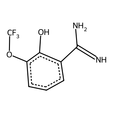 N=C(N)c1cccc(OC(F)(F)F)c1O